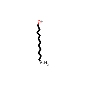 OCCCCCCCCCCC[AsH2]